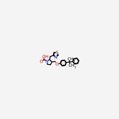 CC(C)(c1ccccc1)c1ccc(OCC2CCN(C(=O)O)C2Cc2cscn2)cc1